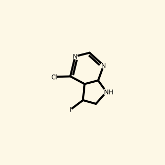 ClC1=NC=NC2NCC(I)C12